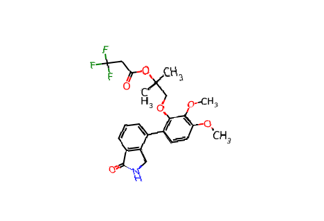 COc1ccc(-c2cccc3c2CNC3=O)c(OCC(C)(C)OC(=O)CC(F)(F)F)c1OC